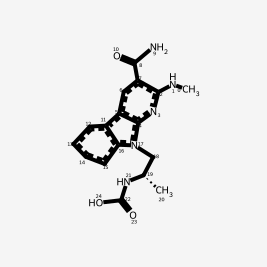 CNc1nc2c(cc1C(N)=O)c1ccccc1n2C[C@H](C)NC(=O)O